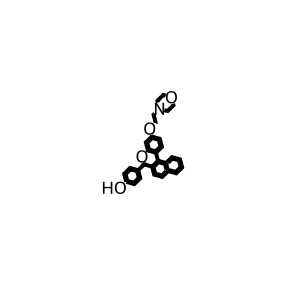 O=C(c1ccc(O)cc1)c1ccc2ccccc2c1-c1ccc(OCCN2CCOCC2)cc1